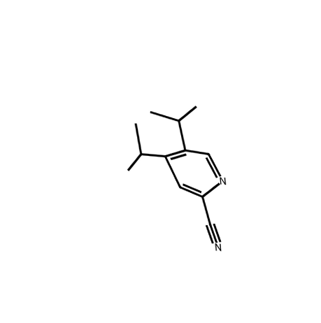 CC(C)c1cnc(C#N)cc1C(C)C